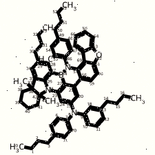 CCCCc1ccc(N(c2cccc(CCCC)c2)c2cc3c4c(c2)N2c5c(cc(CCCC)cc5C5(C)CCCCC25C)B4N(c2ccc(CCCC)cc2C)c2c-3ccc3oc4ccccc4c23)cc1